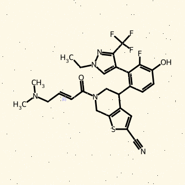 CCn1cc(-c2c(C3CN(C(=O)/C=C/CN(C)C)Cc4sc(C#N)cc43)ccc(O)c2F)c(C(F)(F)F)n1